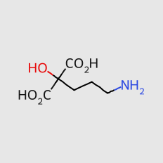 NCCCC(O)(C(=O)O)C(=O)O